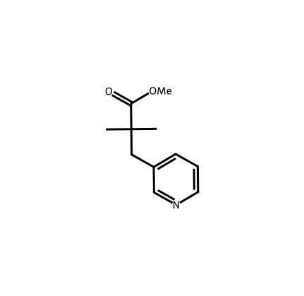 COC(=O)C(C)(C)Cc1cccnc1